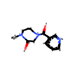 CN1CCN(C(=O)c2cc[c]nc2)CC1=O